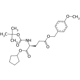 COc1ccc(COC(=O)CC[C@H](NC(=O)OC(C)(C)C)C(=O)OC2CCCC2)cc1